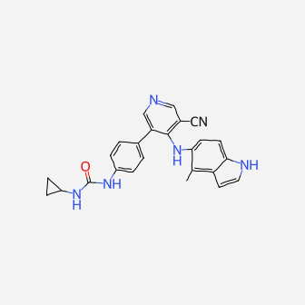 Cc1c(Nc2c(C#N)cncc2-c2ccc(NC(=O)NC3CC3)cc2)ccc2[nH]ccc12